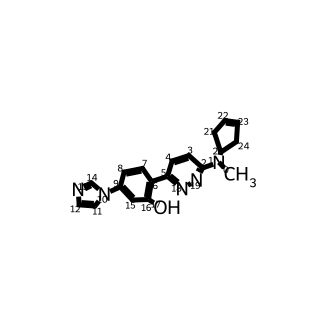 CN(c1ccc(-c2ccc(-n3ccnc3)cc2O)nn1)C1CC=CC1